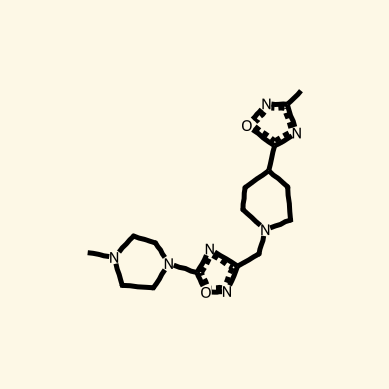 Cc1noc(C2CCN(Cc3noc(N4CCN(C)CC4)n3)CC2)n1